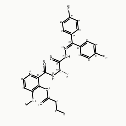 CCCC(=O)Oc1c(OC)ccnc1C(=O)N[C@@H](C)C(=O)NN=C(c1ccc(F)cc1)c1ccc(F)cc1